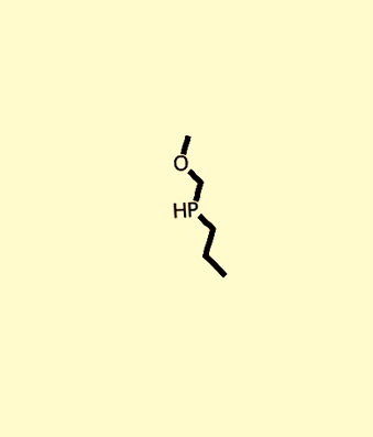 CCCPCOC